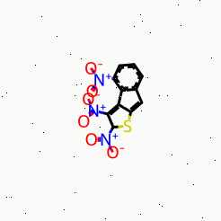 O=[N+]([O-])C1=C2C(=Cc3cccc([N+](=O)[O-])c32)SC1[N+](=O)[O-]